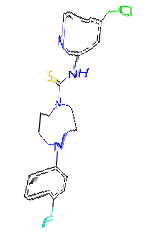 Fc1ccc(N2CCN(C(=S)Nc3cc(Cl)ccn3)CC2)cc1